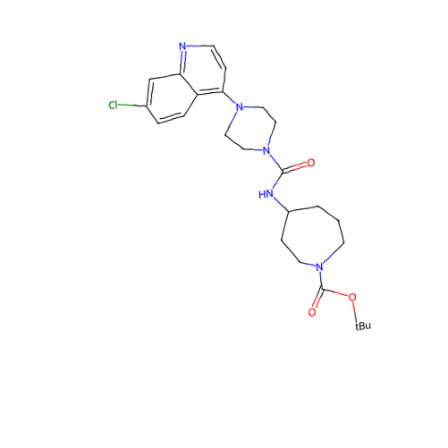 CC(C)(C)OC(=O)N1CCCC(NC(=O)N2CCN(c3ccnc4cc(Cl)ccc34)CC2)CC1